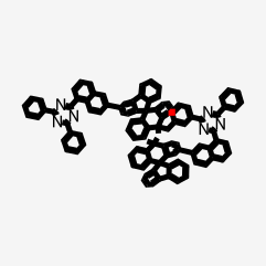 CC1(C)c2ccccc2C2(c3ccccc3-c3ccccc32)c2cc(-c3ccc4cccc(-c5nc(-c6ccccc6)nc(-c6cccc(CC7(C)c8ccccc8C8(c9ccccc9-c9cc(-c%10ccc%11c(-c%12nc(-c%13ccccc%13)nc(-c%13ccccc%13)n%12)cccc%11c%10)ccc98)c8ccccc87)c6)n5)c4c3)ccc21